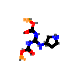 O=C(N=C(NC(=O)OP)N[C@@H]1CCNC1)OP